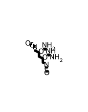 NC(=O)NC(N)=O.O=C=NCCCCCN=C=O